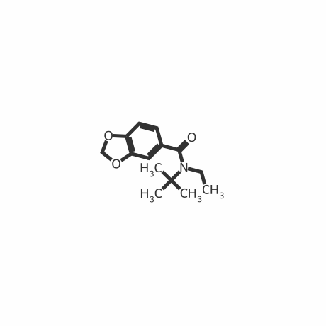 CCN(C(=O)c1ccc2c(c1)OCO2)C(C)(C)C